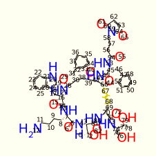 C[C@@H](O)[C@@H]1NC(=O)[C@H](CCCCN)NC(=O)[C@@H](Cc2c[nH]c3ccccc23)NC(=O)[C@H](Cc2ccccc2)CC(=O)[C@@H](NC(=O)[C@@H](Cc2ccccc2)NC(=O)CCCN2C(=O)C=CC2=O)CSSC[C@@H](C(=O)N[C@H](CO)[C@@H](C)O)NC1=O